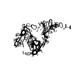 CN1CC[C@]23c4c5ccc(O)c4O[C@H]2[C@@H](O)C=C[C@H]3[C@H]1C5.COc1c(N2C[C@@H]3CCCN[C@@H]3C2)c(F)cc2c(=O)c(C(=O)O)cn(C3CC3)c12.C[C@H]1[C@H](NC(=O)/C(=N\OC(C)(C)C(=O)O)c2csc(N)n2)C(=O)N1S(=O)(=O)O